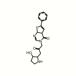 O=C(CC1NCCC1O)CN1C=NC2SC(c3ccccc3)=CC2C1=O